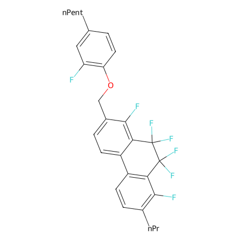 CCCCCc1ccc(OCc2ccc3c(c2F)C(F)(F)C(F)(F)c2c-3ccc(CCC)c2F)c(F)c1